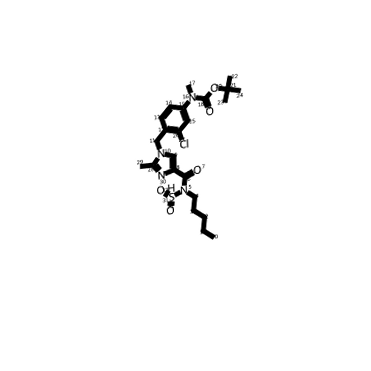 CCCCCN(C(=O)c1cn(Cc2ccc(N(C)C(=O)OC(C)(C)C)cc2Cl)c(C)n1)[SH](=O)=O